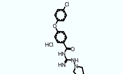 Cl.N=C(NC(=O)c1ccc(Oc2ccc(Cl)cc2)cc1)NN1CCCC1